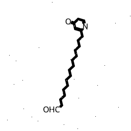 O=CCCCCCCCCCCCCCCCC1=CC(=O)CC=N1